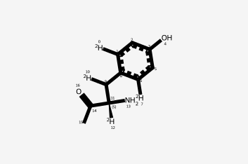 [2H]c1cc(O)cc([2H])c1C([2H])[C@]([2H])(N)C(C)=O